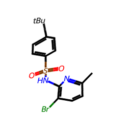 Cc1ccc(Br)c(NS(=O)(=O)c2ccc(C(C)(C)C)cc2)n1